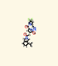 CC(C)c1cccc2c1CN(C(=O)C[C@@H]1C[C@@H](C(=O)N3CC(F)(F)C[C@H]3C#N)NC1=O)C2